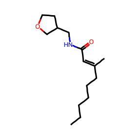 CCCCCC/C(C)=C/C(=O)NCC1CCOC1